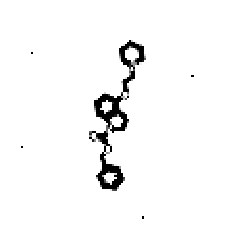 O=C(OCc1ccccc1)N1CCc2c(OCCN3CCCCC3)cccc21